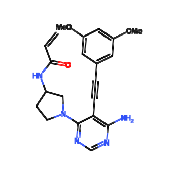 C=CC(=O)NC1CCN(c2ncnc(N)c2C#Cc2cc(OC)cc(OC)c2)C1